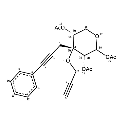 C#CCO[C@]1(CC#Cc2ccccc2)[C@H](OC(C)=O)COC(OC(C)=O)[C@@H]1OC(C)=O